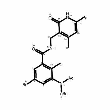 CCCCN(C(C)=O)c1cc(Br)cc(C(=O)NCc2c(C)cc(C)[nH]c2=O)c1C